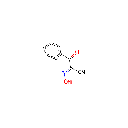 N#CC(=NO)C(=O)c1ccccc1